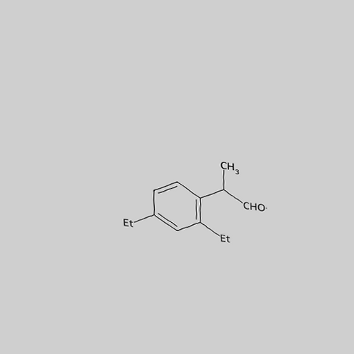 CCc1ccc(C(C)[C]=O)c(CC)c1